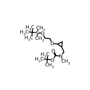 CN(CC1CC1OCCO[Si](C)(C)C(C)(C)C)C(=O)OC(C)(C)C